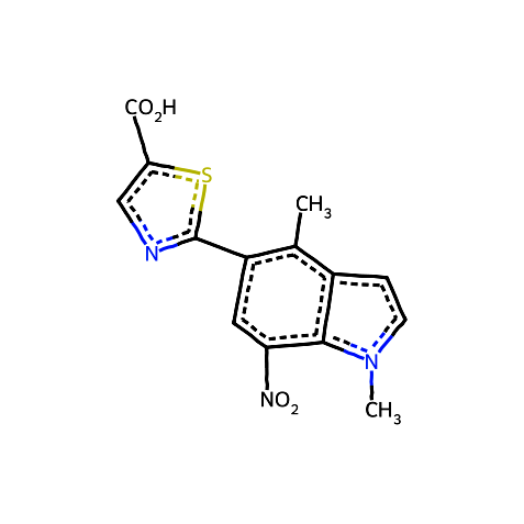 Cc1c(-c2ncc(C(=O)O)s2)cc([N+](=O)[O-])c2c1ccn2C